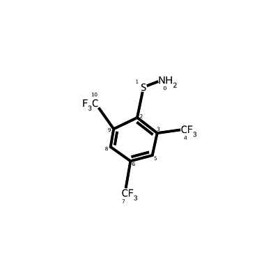 NSc1c(C(F)(F)F)cc(C(F)(F)F)cc1C(F)(F)F